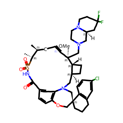 CO[C@@]1(CN2CCN3CCC(F)(F)C[C@H]3C2)/C=C/C[C@H](C)[C@@H](C)S(=O)(=O)NC(=O)c2ccc3c(c2)N(C[C@@H]2CC[C@H]21)C[C@@]1(CCCc2cc(Cl)ccc21)CO3